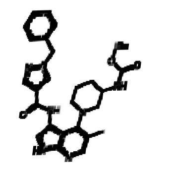 Cc1cnc2[nH]cc(NC(=O)c3cnn(Cc4ccccc4)c3)c2c1N1CCCC(NC(=O)OC(C)(C)C)C1